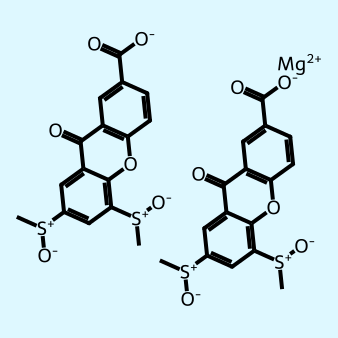 C[S+]([O-])c1cc([S+](C)[O-])c2oc3ccc(C(=O)[O-])cc3c(=O)c2c1.C[S+]([O-])c1cc([S+](C)[O-])c2oc3ccc(C(=O)[O-])cc3c(=O)c2c1.[Mg+2]